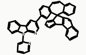 C1=Cc2ccc(-c3cnc4c(c3)c3ccccc3n4-c3ccccn3)cc2C2(c3ccccc31)c1ccccc1-c1c2ccc2ccccc12